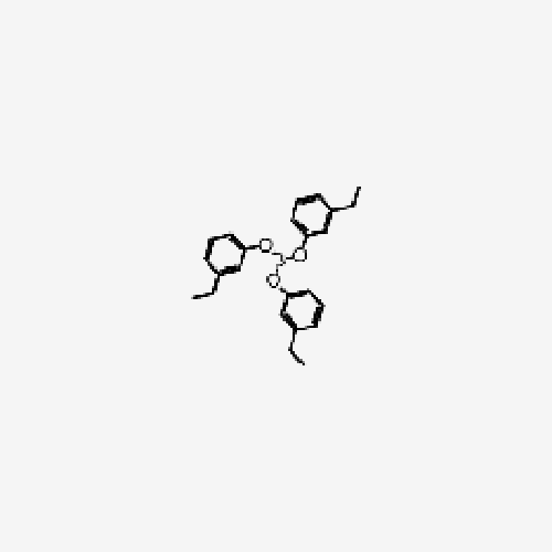 CCc1cccc(OB(Oc2cccc(CC)c2)Oc2cccc(CC)c2)c1